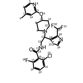 Cc1ccnc(OC2CCN(C(CNC(=O)c3c(F)cccc3Cl)c3scnc3C(F)F)CC2)c1